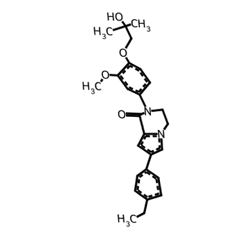 CCc1ccc(-c2cc3n(c2)CCN(c2ccc(OCC(C)(C)O)c(OC)c2)C3=O)cc1